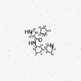 O=C(Nc1cccc(-c2cccnc2)c1)[C@H]1CNC[C@@H]1c1ccccc1